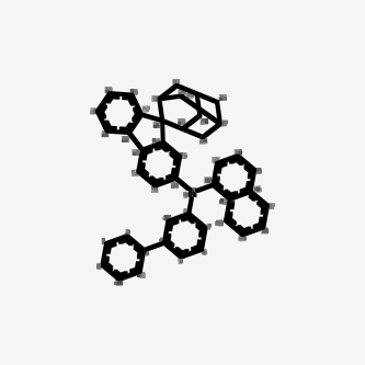 c1ccc(-c2cccc(N(c3ccc4c(c3)C3(c5ccccc5-4)C4CC5CC(C4)CC3C5)c3cccc4ccccc34)c2)cc1